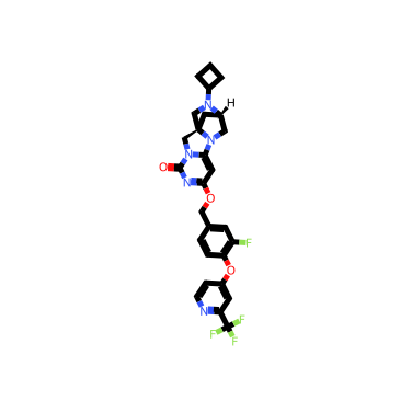 O=c1nc(OCc2ccc(Oc3ccnc(C(F)(F)F)c3)c(F)c2)cc2n1C[C@@]13C[C@@H](CN21)N(C1CCC1)C3